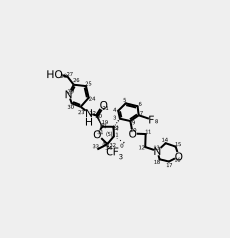 C[C@H]1[C@@H](c2cccc(F)c2OCCN2CCOCC2)[C@H](C(=O)Nc2ccc(CO)nc2)O[C@@]1(C)C(F)(F)F